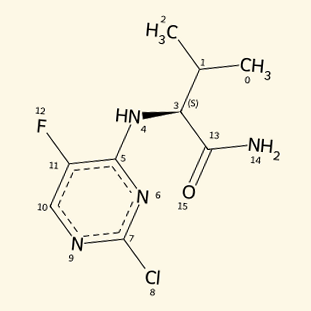 CC(C)[C@H](Nc1nc(Cl)ncc1F)C(N)=O